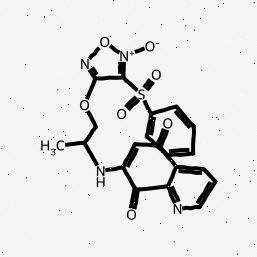 CC(COc1no[n+]([O-])c1S(=O)(=O)c1ccccc1)NC1=CC(=O)c2cccnc2C1=O